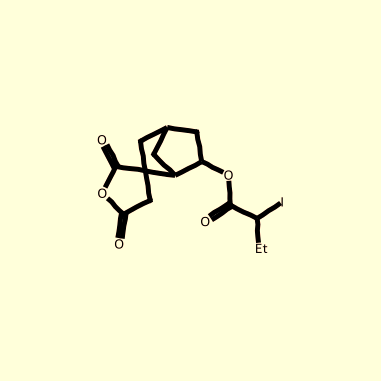 CCC(I)C(=O)OC1CC2CC1C1(CC(=O)OC1=O)C2